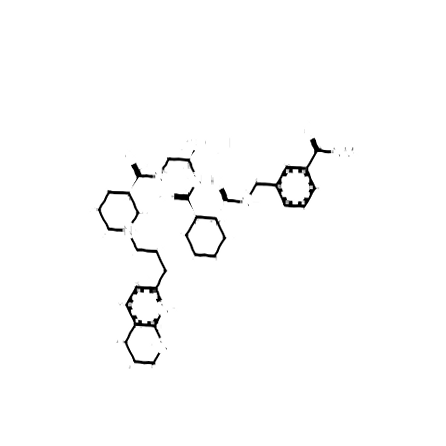 CNC(=O)c1cccc(CNC(=O)[C@@H]2CCCC[C@H]2C(=O)N[C@@H](CNC(=O)[C@@H]2CCCN(CCCc3ccc4c(n3)NCCC4)C2)C(=O)O)c1